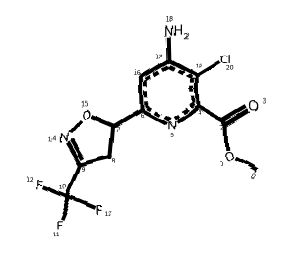 COC(=O)c1nc(C2CC(C(F)(F)F)=NO2)cc(N)c1Cl